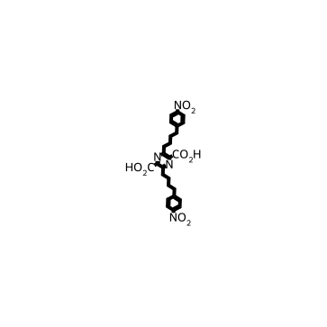 O=C(O)c1nc(CCCCc2ccc([N+](=O)[O-])cc2)c(C(=O)O)nc1CCCCc1ccc([N+](=O)[O-])cc1